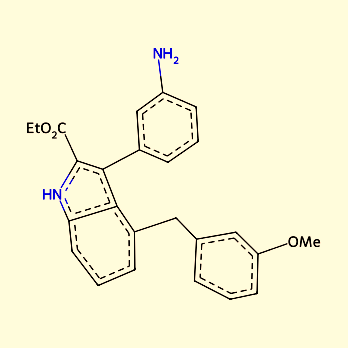 CCOC(=O)c1[nH]c2cccc(Cc3cccc(OC)c3)c2c1-c1cccc(N)c1